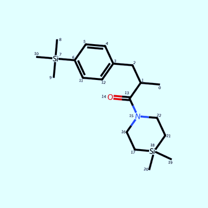 CC(Cc1ccc([Si](C)(C)C)cc1)C(=O)N1CC[Si](C)(C)CC1